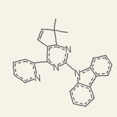 CC1(C)C=Cc2c(-c3ccccn3)nc(-n3c4ccccc4c4ccccc43)nc21